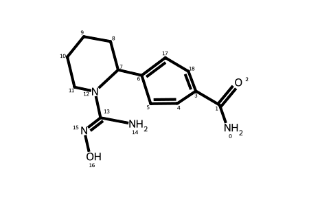 NC(=O)c1ccc(C2CCCCN2/C(N)=N/O)cc1